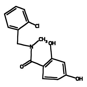 CN(Cc1ccccc1Cl)C(=O)c1ccc(O)cc1O